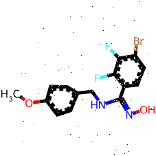 COc1ccc(CN/C(=N/O)c2ccc(Br)c(F)c2F)cc1